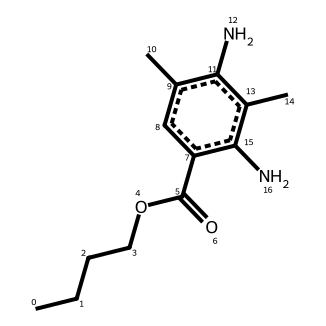 CCCCOC(=O)c1cc(C)c(N)c(C)c1N